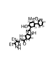 CCc1n[nH]c(NC(=O)c2ccc3[nH]c(-c4cc(-c5cccnc5OC)ccc4O)nc3c2)c1CC